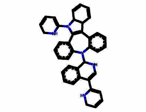 C1=CCNC(C2=CNC(N3c4ccccc4C4=C(c5ccccc53)N(C3=CC=CCN3)C3C=CC=CC43)c3ccccc32)=C1